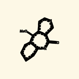 COc1c2ccccc2nc(=O)c2cnccc12